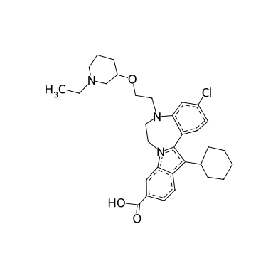 CCN1CCCC(OCCN2CCn3c(c(C4CCCCC4)c4ccc(C(=O)O)cc43)-c3ccc(Cl)cc32)C1